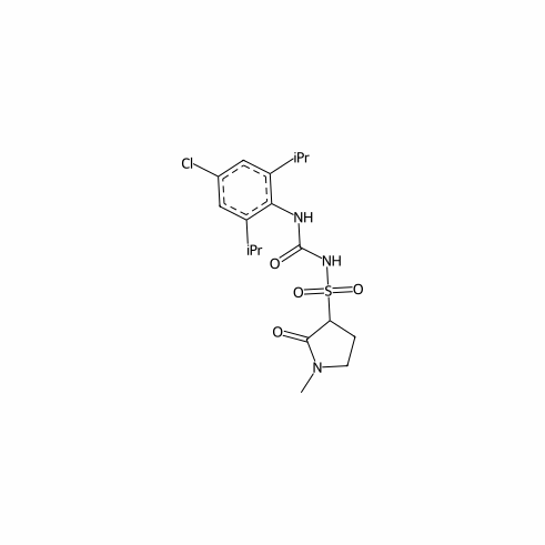 CC(C)c1cc(Cl)cc(C(C)C)c1NC(=O)NS(=O)(=O)C1CCN(C)C1=O